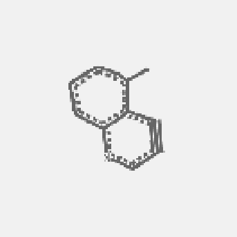 Cc1cccc2ncc#cc12